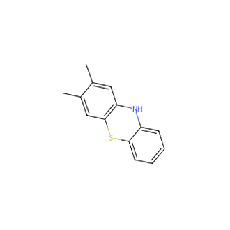 Cc1cc2c(cc1C)Sc1ccccc1N2